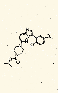 COc1ccc(OC)c(-c2cnc3ccc(N4CCN(C(=O)OC(C)C)CC4)nn23)c1